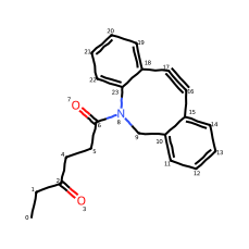 CCC(=O)CCC(=O)N1Cc2ccccc2C#Cc2ccccc21